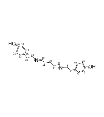 Oc1ccc(CC/N=C/CCC/C=N/CCc2ccc(O)cc2)cc1